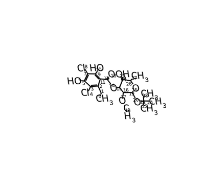 CCc1c(Cl)c(O)c(Cl)c(O)c1C(=O)OC1C(OC)C(OC(C)(C)C)OC(C)[C@@H]1O